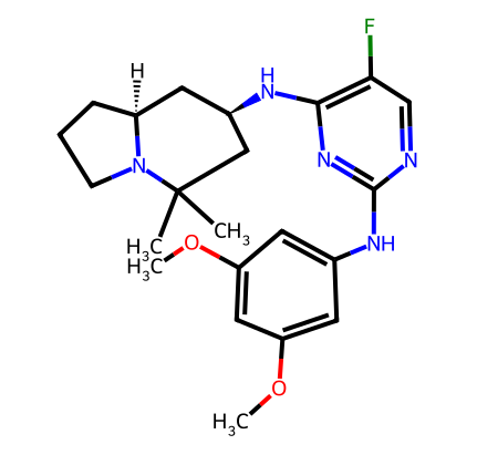 COc1cc(Nc2ncc(F)c(N[C@@H]3C[C@@H]4CCCN4C(C)(C)C3)n2)cc(OC)c1